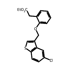 CCOC(=O)Cc1ccccc1OCc1csc2ccc(Cl)cc12